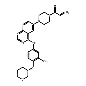 C=CC(=O)N1CCN(c2ccc3ncnc(Nc4ccc(O[C@@H]5CCCOC5)c(C)c4)c3c2)CC1